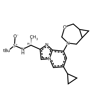 C[C@@H](N[S+]([O-])C(C)(C)C)c1cn2cc(C3CC3)cc(N3COCC4CC4C3)c2n1